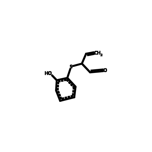 C=CC(C=O)Sc1ccccc1O